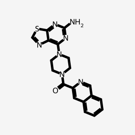 Nc1nc(N2CCN(C(=O)c3cc4ccccc4cn3)CC2)c2ncsc2n1